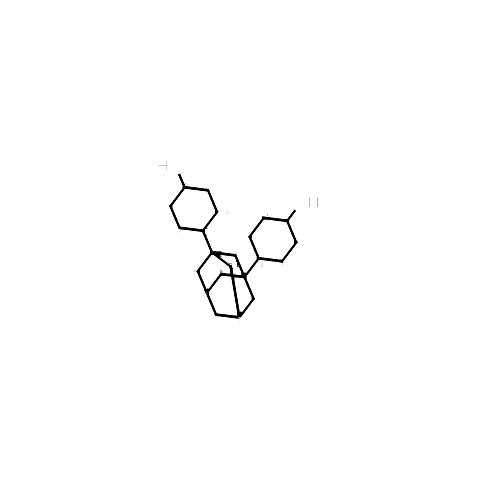 OC1CCC(C23CC4CC(C2)CC(C2CCC(O)CC2)(C4)C3)CC1